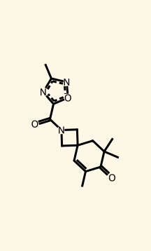 CC1=CC2(CN(C(=O)c3nc(C)no3)C2)CC(C)(C)C1=O